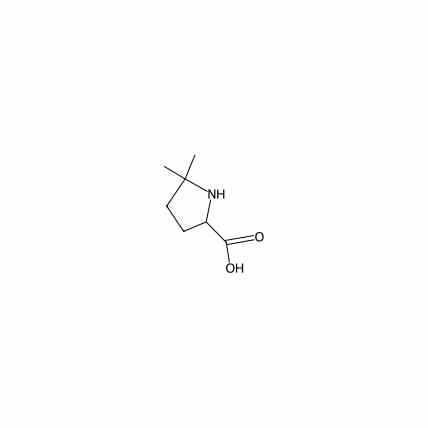 CC1(C)CCC(C(=O)O)N1